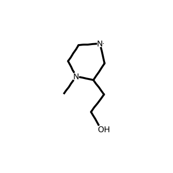 CN1CC[N]CC1CCO